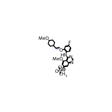 COc1cc(N=S(C)(C)=O)cc2ncnc(Nc3ccc(F)cc3O/C=C/C3CCC(OC)CC3)c12